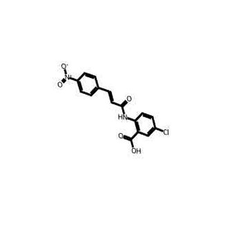 O=C(C=Cc1ccc([N+](=O)[O-])cc1)Nc1ccc(Cl)cc1C(=O)O